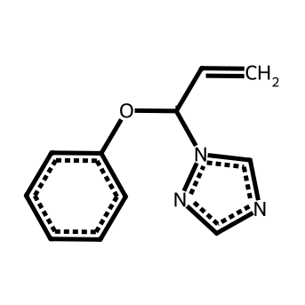 C=C[C](Oc1ccccc1)n1cncn1